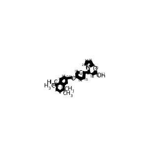 CC1(C)CCC(C)(C)c2cc(COc3ccc([C@H](CC(=O)O)n4cccc4)cc3)ccc21